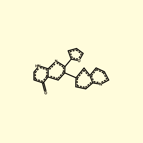 O=c1cc[nH]c2nc(-c3ccco3)c(-c3ccc4ncccc4c3)cc12